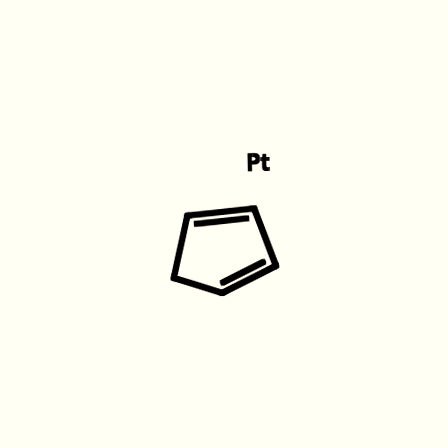 C1=CCC=C1.[Pt]